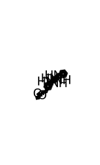 C=CC(=O)OCCc1ccc(NC(=N)NC(=N)Nc2ccccc2)cc1